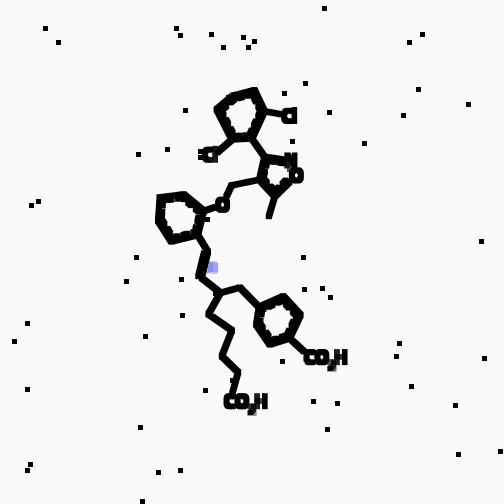 Cc1onc(-c2c(Cl)cccc2Cl)c1COc1ccccc1/C=C/C(CCCCC(=O)O)Cc1ccc(C(=O)O)cc1